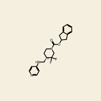 O=C(OC1Cc2ccccc2C1)N1CC[C@H](CNc2ccncc2)C(F)(F)C1